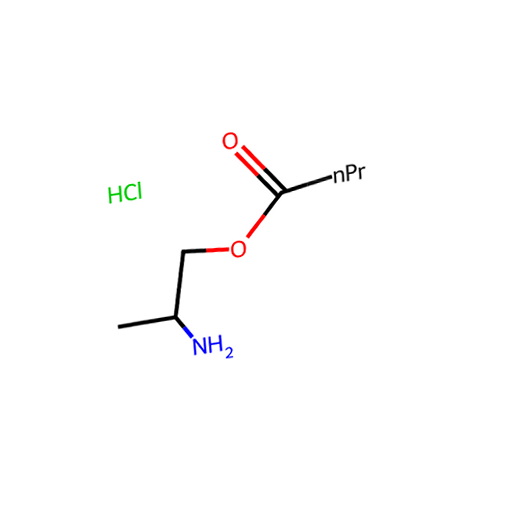 CCCC(=O)OCC(C)N.Cl